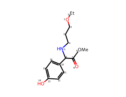 CCOCCCNC(C(=O)OC)c1ccc(O)cc1